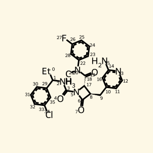 CCC(NC(=O)N1C(=O)[C@H](Cc2ccnc(N)c2)[C@H]1C(=O)N(C)c1cccc(F)c1)c1cccc(Cl)c1